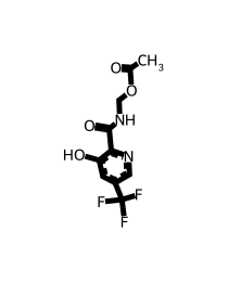 CC(=O)OCNC(=O)c1ncc(C(F)(F)F)cc1O